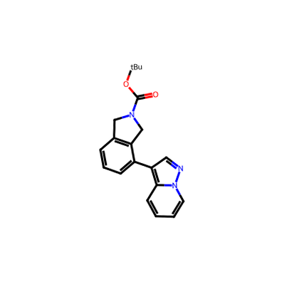 CC(C)(C)OC(=O)N1Cc2cccc(-c3cnn4ccccc34)c2C1